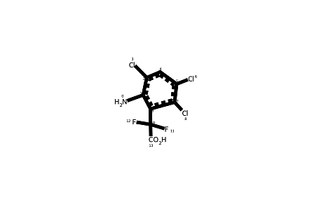 Nc1c(Cl)cc(Cl)c(Cl)c1C(F)(F)C(=O)O